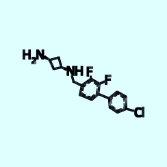 N[C@H]1C[C@@H](NCc2ccc(-c3ccc(Cl)cc3)c(F)c2F)C1